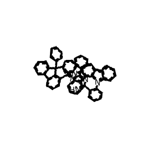 N=C(/N=C(\N=C\c1cccc2c1C(c1ccccc1)(c1ccccc1)c1ccccc1-2)c1ccccc1)c1ccccc1-n1c2ccccc2c2ccc3[nH]c4ccccc4c3c21